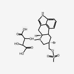 CN1C[C@](Br)(COS(C)(=O)=O)CC2c3cccc4[nH]cc(c34)C[C@H]21.O=C(O)C(O)C(O)C(=O)O